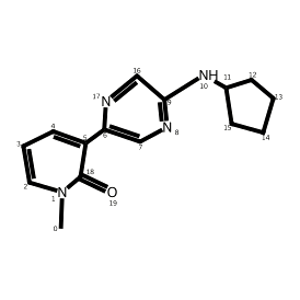 Cn1cccc(-c2cnc(NC3CCCC3)cn2)c1=O